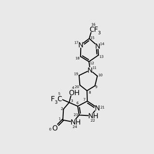 O=C1CC(O)(C(F)(F)F)c2c(C3CCN(c4cnc(C(F)(F)F)nc4)CC3)n[nH]c2N1